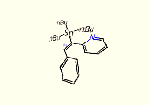 CCC[CH2][Sn]([CH2]CCC)([CH2]CCC)/[C](=C/c1ccccc1)c1ccccn1